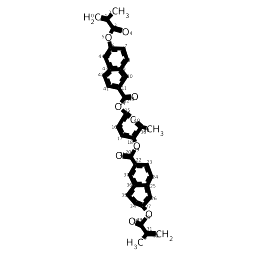 C=C(C)C(=O)Oc1ccc2cc(C(=O)Oc3ccc(OC(=O)c4ccc5cc(OC(=O)C(=C)C)ccc5c4)c(C)c3)ccc2c1